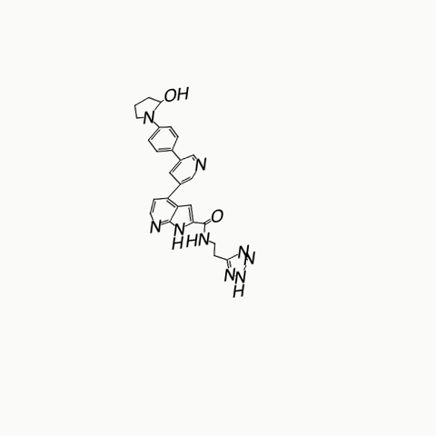 O=C(NCCc1nn[nH]n1)c1cc2c(-c3cncc(-c4ccc(N5CCCC5O)cc4)c3)ccnc2[nH]1